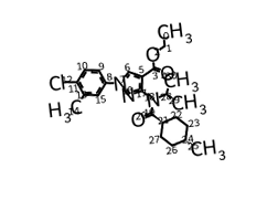 CCOC(=O)c1cn(-c2ccc(Cl)c(C)c2)nc1N(C(=O)[C@H]1CC[C@H](C)CC1)C(C)C